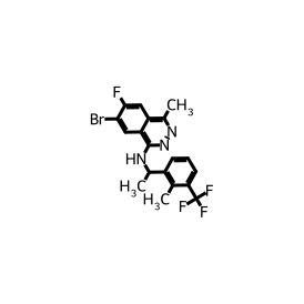 Cc1c(C(C)Nc2nnc(C)c3cc(F)c(Br)cc23)cccc1C(F)(F)F